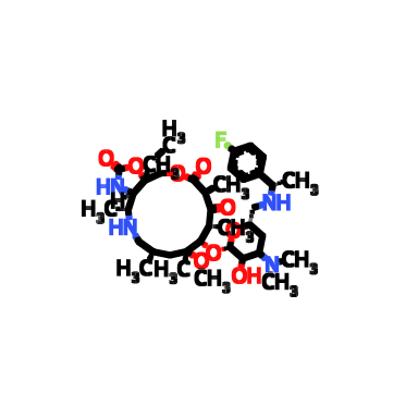 CC[C@@H]1OC(=O)C(C)C(=O)[C@H](C)[C@@H](O[C@@H]2O[C@H](CN[C@@H](C)c3ccc(F)cc3)CC(N(C)C)C2O)[C@](C)(OC)C[C@@H](C)CN[C@H](C)[C@H]2NC(=O)O[C@]12C